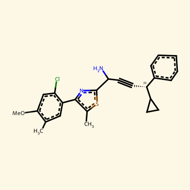 COc1cc(Cl)c(-c2nc(C(N)C#C[C@H](c3ccccc3)C3CC3)sc2C)cc1C